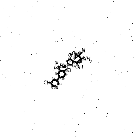 CO[C@@H]1C[C@H](S(=O)(=O)c2ccc(-c3cncc(Cl)c3)cc2C(F)(F)F)C[C@@]1(C(=O)O)C1CC1(C#N)C(N)=O